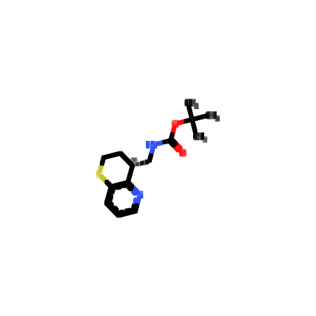 CC(C)(C)OC(=O)NC[C@H]1CCSc2cccnc21